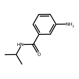 CC(C)NC(=O)c1cccc(N)c1